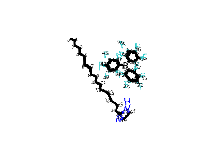 CCCCCCCCCCCCCCCCCc1ncc[nH]1.Fc1c(F)c(F)c(B(c2c(F)c(F)c(F)c(F)c2F)c2c(F)c(F)c(F)c(F)c2F)c(F)c1F